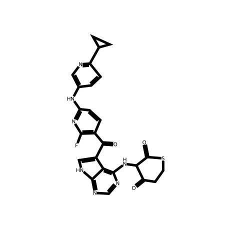 O=C(c1ccc(Nc2ccc(C3CC3)nc2)nc1F)c1c[nH]c2ncnc(NC3C(=O)CCSC3=O)c12